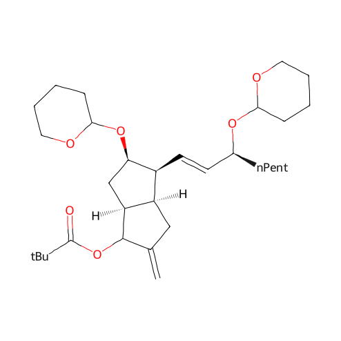 C=C1C[C@@H]2[C@H](C=C[C@H](CCCCC)OC3CCCCO3)[C@H](OC3CCCCO3)C[C@@H]2C1OC(=O)C(C)(C)C